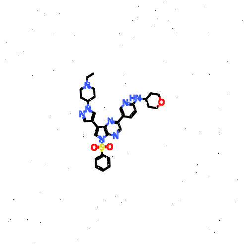 CCN1CCC(n2cc(-c3cn(S(=O)(=O)c4ccccc4)c4ncc(-c5ccc(NC6CCOCC6)nc5)nc34)cn2)CC1